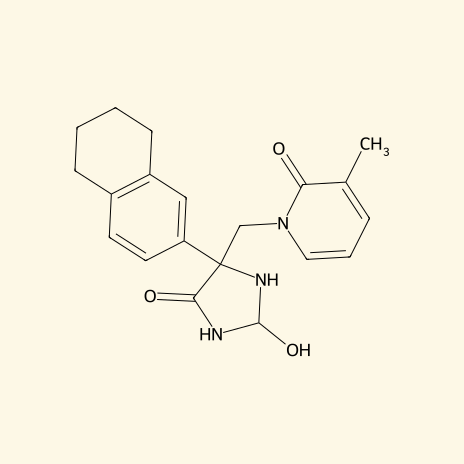 Cc1cccn(CC2(c3ccc4c(c3)CCCC4)NC(O)NC2=O)c1=O